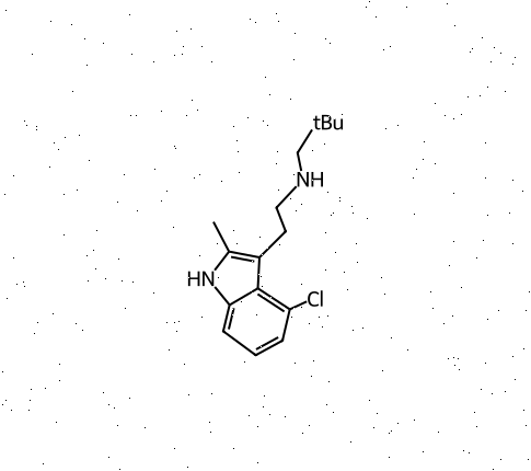 Cc1[nH]c2cccc(Cl)c2c1CCNCC(C)(C)C